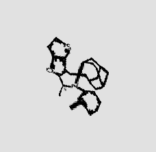 Cc1ccccc1N1[C@@H](C)c2oc3ccsc3c2C12C1CC3CC(C1)CC2C3